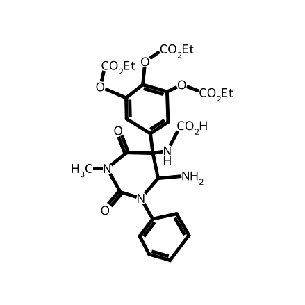 CCOC(=O)Oc1cc(C2(NC(=O)O)C(=O)N(C)C(=O)N(c3ccccc3)C2N)cc(OC(=O)OCC)c1OC(=O)OCC